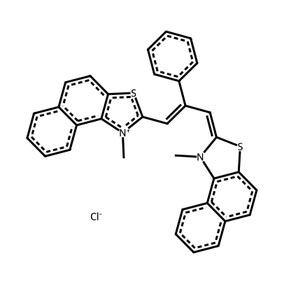 CN1C(=CC(=Cc2sc3ccc4ccccc4c3[n+]2C)c2ccccc2)Sc2ccc3ccccc3c21.[Cl-]